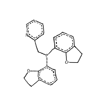 c1ccc(CP(c2cccc3c2OCC3)c2cccc3c2OCC3)nc1